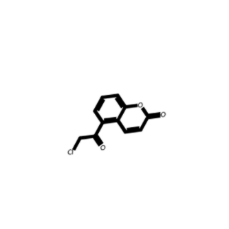 O=C(CCl)c1cccc2oc(=O)ccc12